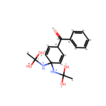 CC(O)(O)NC1(NC(C)(O)O)C=CC(C(=O)c2ccccc2)C=C1